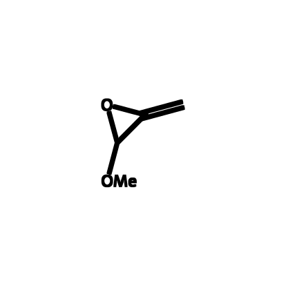 C=C1OC1OC